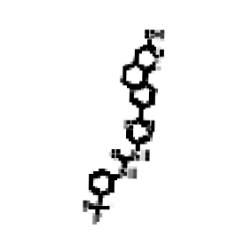 O=C(O)CC1CCc2cc(-c3ncc(NC(=O)Nc4cccc(C(F)(F)F)c4)cn3)ccc2C1=O